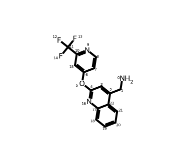 NCc1cc(Oc2ccnc(C(F)(F)F)c2)nc2ccccc12